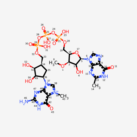 CO[C@@H]1C(O)[C@H](n2cnc3c(=O)[nH]c(C)nc32)O[C@@H]1COP(=O)(O)OP(=O)(O)OP(=O)(O)OC[C@H]1C[C@@H](n2c[n+](C)c3c(=O)[nH]c(N)nc32)C(O)[C@H]1O